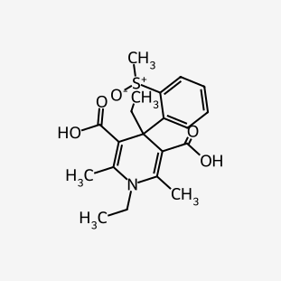 CCN1C(C)=C(C(=O)O)C(CC)(c2ccccc2[S+](C)[O-])C(C(=O)O)=C1C